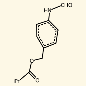 CC(C)C(=O)OCc1ccc(NC=O)cc1